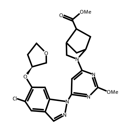 COC(=O)C1CC2CC1CN2c1cc(-n2ncc3cc(Cl)c(O[C@H]4CCOC4)cc32)nc(OC)n1